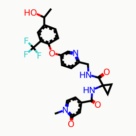 CC(O)c1ccc(Oc2ccc(CNC(=O)C3(NC(=O)c4ccn(C)c(=O)c4)CC3)nc2)c(C(F)(F)F)c1